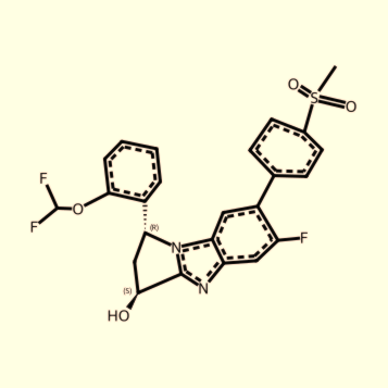 CS(=O)(=O)c1ccc(-c2cc3c(cc2F)nc2n3[C@@H](c3ccccc3OC(F)F)C[C@@H]2O)cc1